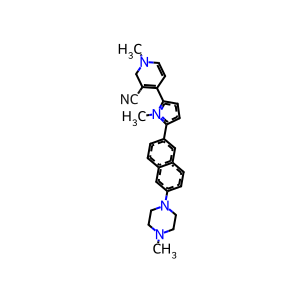 CN1C=CC(c2ccc(-c3ccc4cc(N5CCN(C)CC5)ccc4c3)n2C)=C(C#N)C1